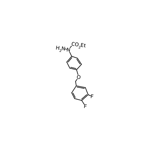 CCOC(=O)N(N)c1ccc(OCc2ccc(F)c(F)c2)cc1